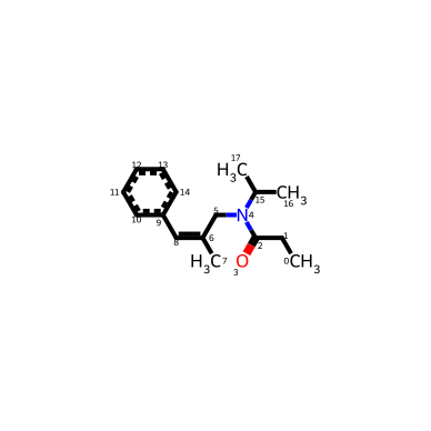 CCC(=O)N(C/C(C)=C\c1ccccc1)C(C)C